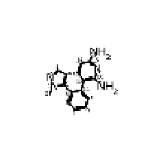 Cn1nccc1-c1ccccc1-c1ccc(N)nc1N